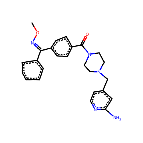 CON=C(c1ccccc1)c1ccc(C(=O)N2CCN(Cc3ccnc(N)c3)CC2)cc1